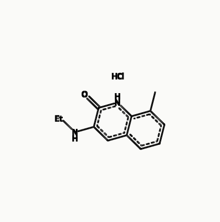 CCNc1cc2cccc(C)c2[nH]c1=O.Cl